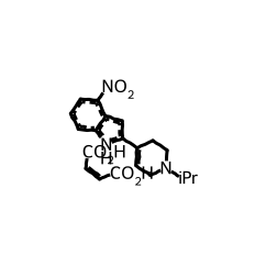 CC(C)N1CC=C(c2cc3c([N+](=O)[O-])cccc3[nH]2)CC1.O=C(O)/C=C\C(=O)O